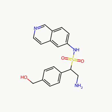 NCC(c1ccc(CO)cc1)S(=O)(=O)Nc1ccc2cnccc2c1